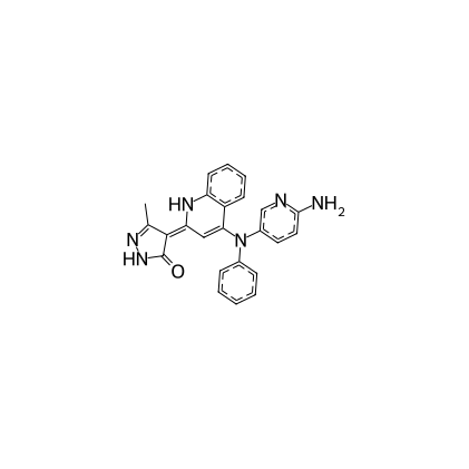 CC1=NNC(=O)C1=C1C=C(N(c2ccccc2)c2ccc(N)nc2)c2ccccc2N1